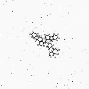 c1ccc2c(-c3ccc(N(c4cccc5c4ccc4c6ccccc6sc54)c4cccc5c4sc4ccccc45)cc3)cccc2c1